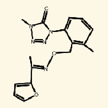 CC(=NOCc1c(C)cccc1-n1nnn(C)c1=O)c1ccco1